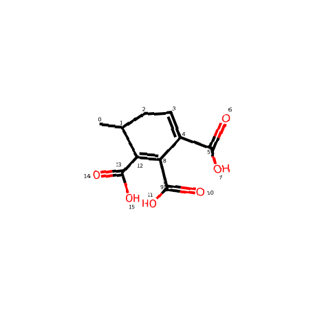 CC1CC=C(C(=O)O)C(C(=O)O)=C1C(=O)O